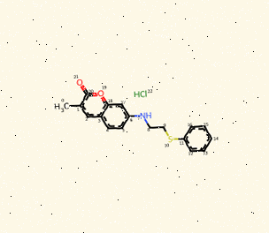 Cc1cc2ccc(NCCSc3ccccc3)cc2oc1=O.Cl